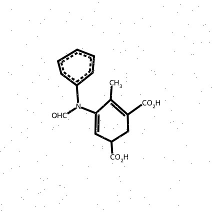 CC1=C(C(=O)O)CC(C(=O)O)C=C1N(C=O)c1ccccc1